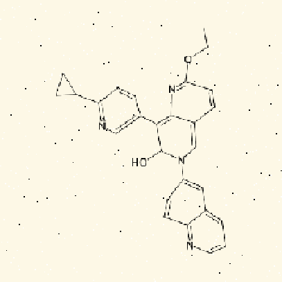 CCOc1ccc2c(n1)=C(c1ccc(C3CC3)nc1)C(O)N(c1ccc3ncccc3c1)C=2